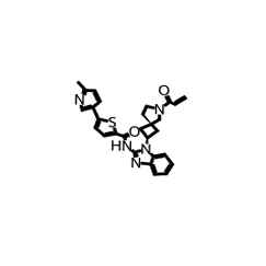 C=CC(=O)N1CC[C@]2(C1)C[C@H](n1c(NC(=O)c3ccc(-c4ccc(C)nc4)s3)nc3ccccc31)C2